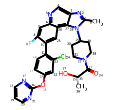 Cc1nc2cnc3cc(F)c(-c4ccc(Oc5ncccn5)cc4Cl)cc3c2n1C1CCN(C(=O)[C@H](C)O)CC1